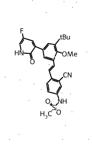 COc1c(/C=C/c2ccc(NS(C)(=O)=O)cc2C#N)cc(-c2cc(F)c[nH]c2=O)cc1C(C)(C)C